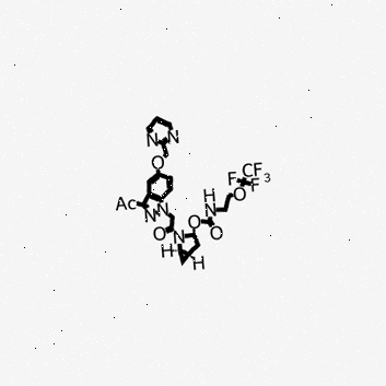 CC(=O)c1nn(CC(=O)N2[C@@H](OC(=O)NCCOC(F)(F)C(F)(F)F)C[C@H]3C[C@H]32)c2ccc(OCc3ncccn3)cc12